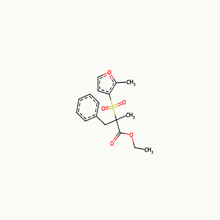 CCOC(=O)C(C)(Cc1ccccc1)S(=O)(=O)c1ccoc1C